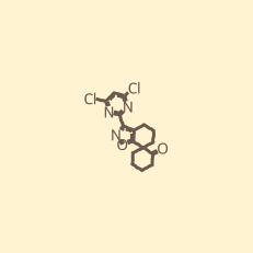 O=C1CCCCC12CCCc1c(-c3nc(Cl)cc(Cl)n3)noc12